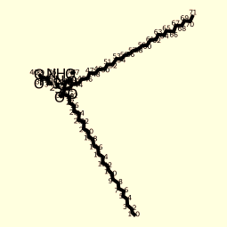 CCCCCCCCCCCCCCCCCCCCCCCCCCCCCC(=O)C(SSC[C@H](N)C(=O)OC)(C(=O)CCCCCCCCCCCCCCCCCCCCCCCCCCCCC)[C@H](N)C(=O)OC